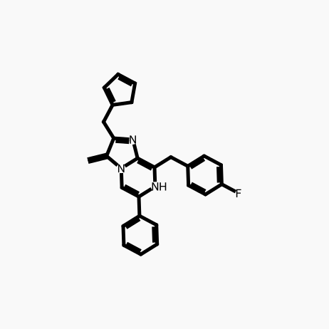 C=c1c(CC2=CC=CC2)nc2n1C=C(c1ccccc1)NC=2Cc1ccc(F)cc1